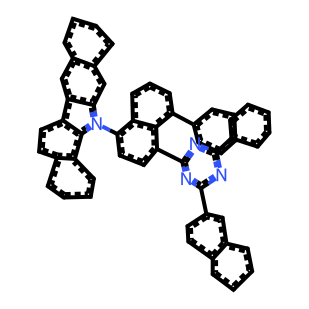 c1ccc(-c2nc(-c3ccc4ccccc4c3)nc(-c3ccc(-n4c5cc6ccccc6cc5c5ccc6ccccc6c54)c4cccc(-c5ccccc5)c34)n2)cc1